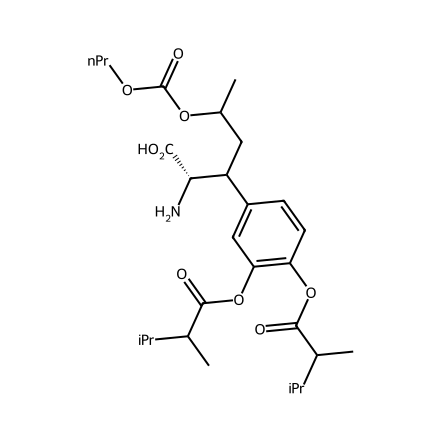 CCCOC(=O)OC(C)CC(c1ccc(OC(=O)C(C)C(C)C)c(OC(=O)C(C)C(C)C)c1)[C@H](N)C(=O)O